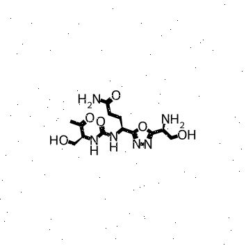 CC(=O)[C@H](CO)NC(=O)N[C@@H](CCC(N)=O)c1nnc([C@@H](N)CO)o1